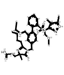 CCCCC1=NC(C)(CNC(=O)O)C(=O)N1Cc1ccc(-c2ccccc2S(=O)(=O)N(COC)c2noc(C)c2C)c(COCC)c1